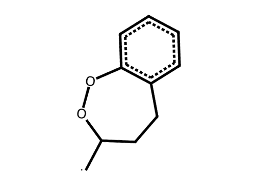 [CH2]C1CCc2ccccc2OO1